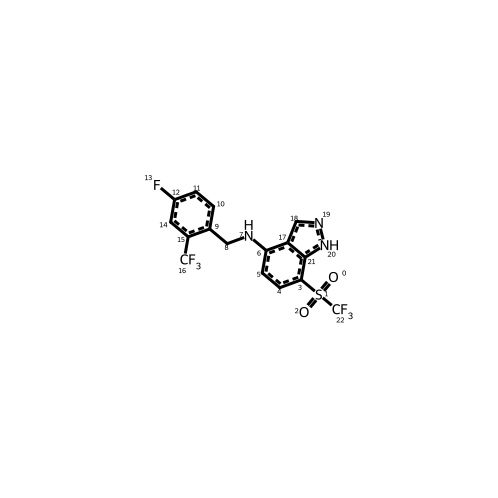 O=S(=O)(c1ccc(NCc2ccc(F)cc2C(F)(F)F)c2cn[nH]c12)C(F)(F)F